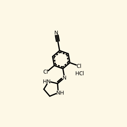 Cl.N#Cc1cc(Cl)c(N=C2NCCN2)c(Cl)c1